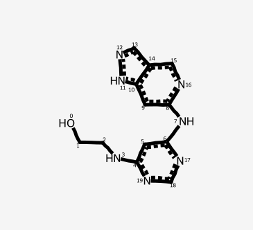 OCCNc1cc(Nc2cc3[nH]ncc3cn2)ncn1